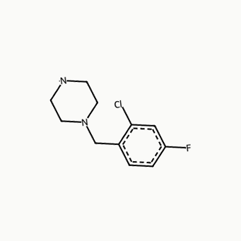 Fc1ccc(CN2CC[N]CC2)c(Cl)c1